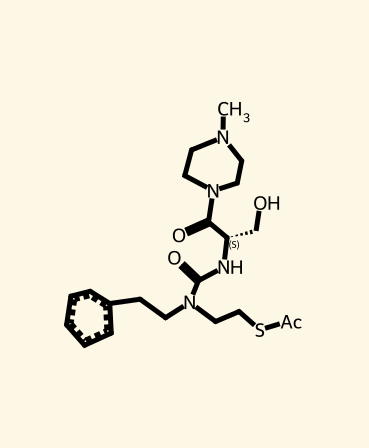 CC(=O)SCCN(CCc1ccccc1)C(=O)N[C@@H](CO)C(=O)N1CCN(C)CC1